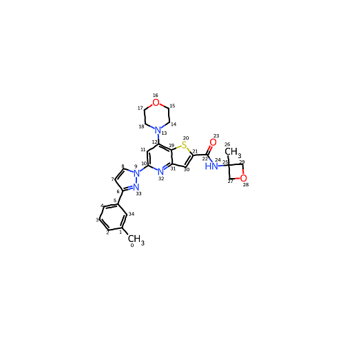 Cc1cccc(-c2ccn(-c3cc(N4CCOCC4)c4sc(C(=O)NC5(C)COC5)cc4n3)n2)c1